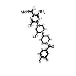 CC[C@H]1CN(c2nc(N)c(C(=O)NC)nc2Cl)CCN1C1CCN(C(=O)c2ccc(C)c(F)c2)CC1